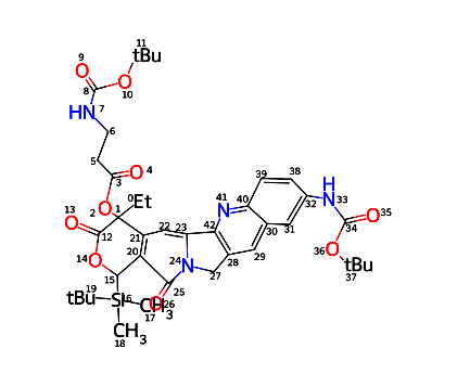 CCC1(OC(=O)CCNC(=O)OC(C)(C)C)C(=O)OC([Si](C)(C)C(C)(C)C)c2c1cc1n(c2=O)Cc2cc3cc(NC(=O)OC(C)(C)C)ccc3nc2-1